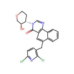 O=c1c2cc(Cc3ccc(Cl)nc3Cl)c3ccccc3c2ncn1[C@H]1CCOC[C@@H]1O